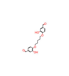 O=Cc1ccc(OCCCCCOc2ccc(C=O)cc2O)c(O)c1